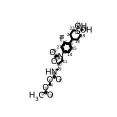 CC(=O)OCOC(=O)NC[C@H]1CN(c2ccc(C3CCS(O)(O)CC3)c(F)c2)C(=O)O1